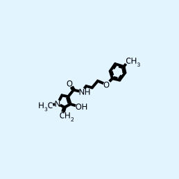 C=C1C(O)=C(C(=O)NCCCOc2ccc(C)cc2)CN1C